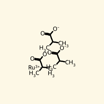 CC(C)C(=O)[O-].CC(C)C(=O)[O-].CC(C)C(=O)[O-].[Ru+3]